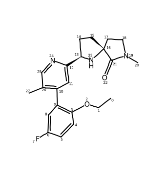 CCOc1ccc(F)cc1-c1cc([C@H]2CC[C@]3(CCN(C)C3=O)N2)ncc1C